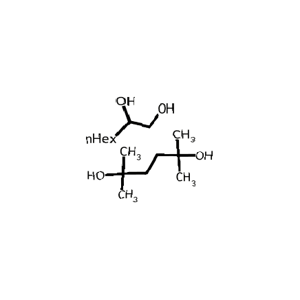 CC(C)(O)CCC(C)(C)O.CCCCCCC(O)CO